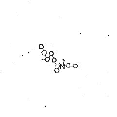 C=C/C=C(/N=C(\C(=C)C(C)c1ccc(-c2ccccc2-c2cccc(C=C)c2C2CCC(c3ccccc3)CC2)cc1)C1C=CC=CC1)C1=CCC(C2=CCCCC2)C=C1